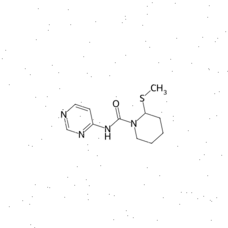 CSC1CCCCN1C(=O)Nc1ccncn1